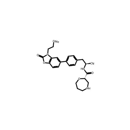 COCCn1c(=O)oc2ccc(-c3ccc(C[C@@H](C#N)NC(=O)[C@@H]4CNCCCO4)cc3)cc21